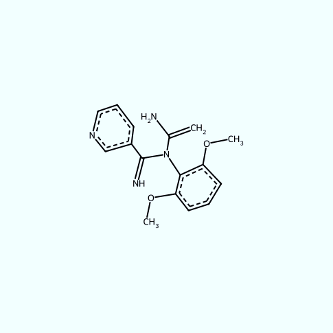 C=C(N)N(C(=N)c1cccnc1)c1c(OC)cccc1OC